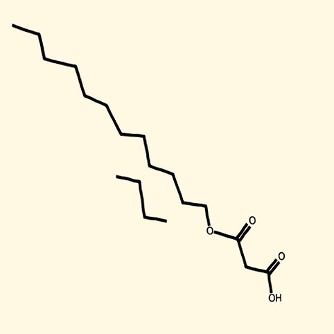 CCCC.CCCCCCCCCCCCOC(=O)CC(=O)O